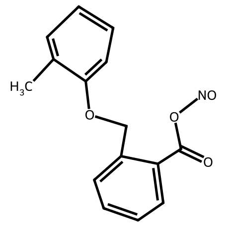 Cc1ccccc1OCc1ccccc1C(=O)ON=O